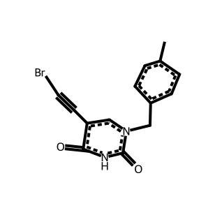 Cc1ccc(Cn2cc(C#CBr)c(=O)[nH]c2=O)cc1